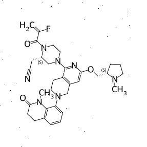 C=C(F)C(=O)N1CCN(c2nc(OC[C@@H]3CCCN3C)cc3c2CCN(c2cccc4c2N(C)C(=O)CC4)C3)C[C@@H]1CC#N